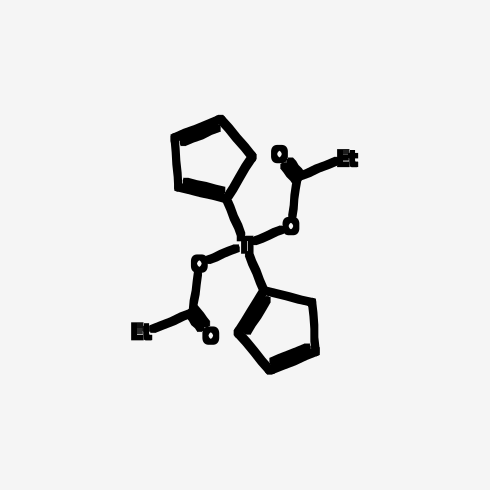 CCC(=O)[O][Ti]([O]C(=O)CC)([C]1=CC=CC1)[C]1=CC=CC1